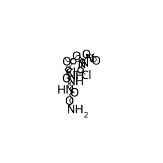 COc1cc2c(cc1-c1cccc(NC(=O)NCCNC(=O)CCOCCN)c1)-c1c(c(C(=O)N3CCOCC3(C)C)nn1-c1cc(Cl)cc(Cl)c1)CO2